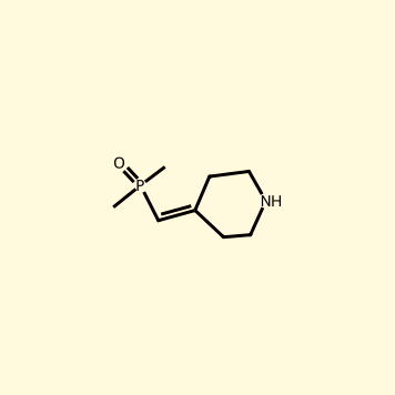 CP(C)(=O)C=C1CCNCC1